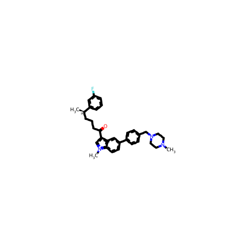 C[C@H](CCCC(=O)c1cn(C)c2ccc(-c3ccc(CN4CCN(C)CC4)cc3)cc12)c1cccc(F)c1